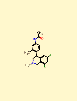 CC(=O)Nc1ccc(C2CN(C)Cc3c(Cl)cc(Cl)cc32)c(C)c1